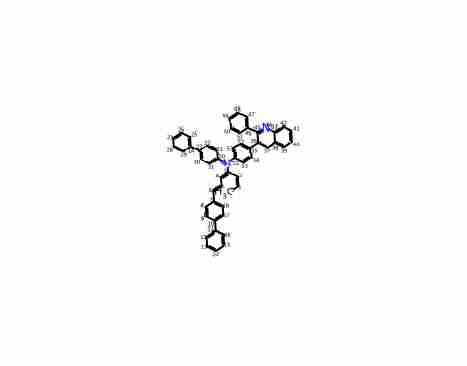 C\C=C/C(=C\C=C\c1ccc(-c2ccccc2)cc1)N(c1ccc(-c2ccccc2)cc1)c1ccc(-c2cc3ccccc3nc2-c2ccccc2)cc1